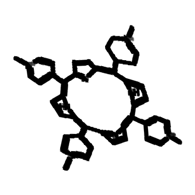 C[N+]1=CCC(c2c3nc(c(-c4cc[n+](C)cc4)c4ccc([nH]4)c(-c4cc[n+](C)cc4)c4nc(c(-c5cc[n+](C)cc5)c5ccc2[nH]5)C=C4)C=C3)CC1